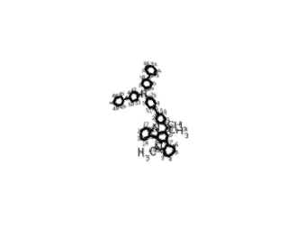 Cn1c2ccccc2c2cc3c4c(c5ccccc5n4-c4cc(-c5ccc(N(c6ccc(-c7ccccc7)cc6)c6ccc(-c7ccccc7)cc6)cc5)ccc4C3(C)C)c21